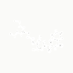 CCCCN(CCCC)CCCOc1c(C)cc(C(=O)c2cc(=O)c3ccccc3o2)cc1C